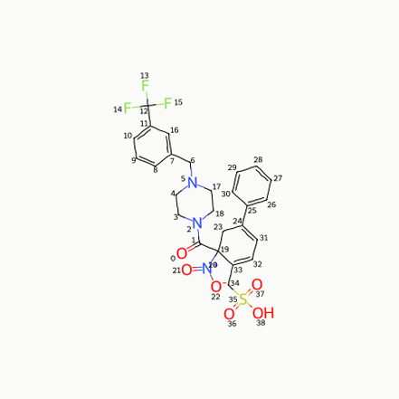 O=C(N1CCN(Cc2cccc(C(F)(F)F)c2)CC1)C1([N+](=O)[O-])CC(c2ccccc2)=CC=C1CS(=O)(=O)O